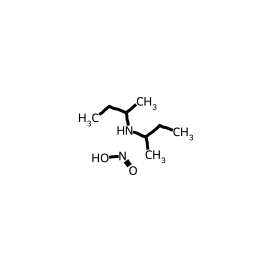 CCC(C)NC(C)CC.O=NO